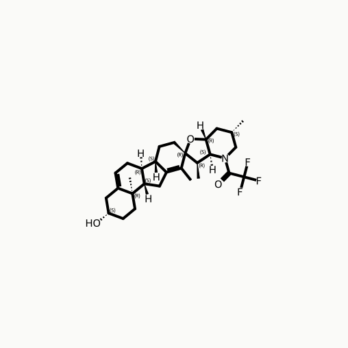 CC1=C2C[C@H]3[C@@H](CC=C4C[C@@H](O)CC[C@@]43C)[C@@H]2CC[C@]12O[C@@H]1C[C@H](C)CN(C(=O)C(F)(F)F)[C@H]1[C@H]2C